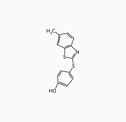 Cc1ccc2nc(Sc3ccc(O)cc3)sc2c1